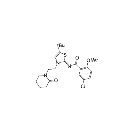 COc1ccc(Cl)cc1C(=O)/N=c1\sc(C(C)(C)C)cn1CCN1CCCCC1=O